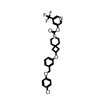 O=C(Oc1cncc(C(F)(F)F)c1)N1CCC2(CC1)CC(Oc1cccc(COc3ccc(Cl)cc3)c1)C2